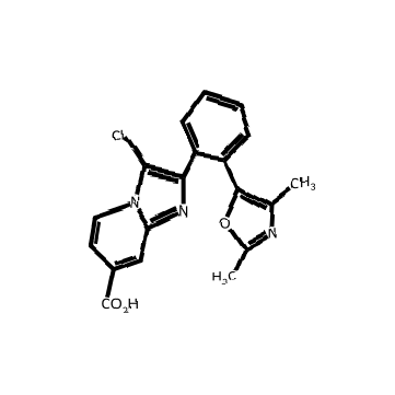 Cc1nc(C)c(-c2ccccc2-c2nc3cc(C(=O)O)ccn3c2Cl)o1